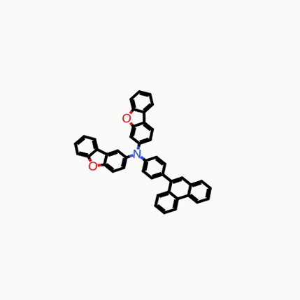 c1ccc2c(c1)cc(-c1ccc(N(c3ccc4c(c3)oc3ccccc34)c3ccc4oc5ccccc5c4c3)cc1)c1ccccc12